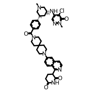 CN1C[C@H](Nc2cnn(C)c(=O)c2Cl)C[C@H](c2ccc(C(=O)N3CCC4(CC3)CCN(c3ccc5c(C6CCC(=O)NC6=O)nccc5c3)CC4)cc2)C1